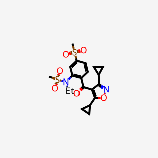 CCN(c1cc(S(C)(=O)=O)ccc1C(=O)c1c(C2CC2)noc1C1CC1)S(C)(=O)=O